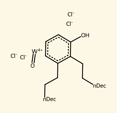 CCCCCCCCCCCCc1cccc(O)c1CCCCCCCCCCCC.[Cl-].[Cl-].[Cl-].[Cl-].[O]=[W+4]